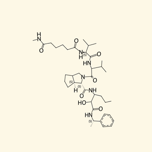 CCCC(NC(=O)[C@@H]1[C@H]2CCCC2CN1C(=O)C(NC(=O)[C@@H](NC(=O)CCCCC(=O)NC)C(C)C)C(C)C)C(O)C(=O)N[C@@H](C)c1ccccc1